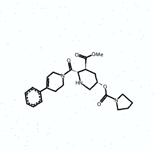 COC(=O)[C@H]1C[C@H](OC(=O)N2CCCC2)CN[C@@H]1C(=O)N1CC=C(c2ccccc2)CC1